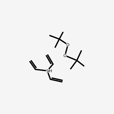 C=C[SiH](C=C)C=C.CC(C)(C)OOC(C)(C)C